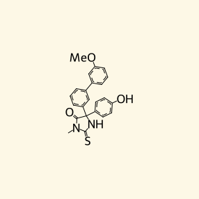 COc1cccc(-c2cccc(C3(c4ccc(O)cc4)NC(=S)N(C)C3=O)c2)c1